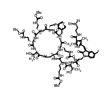 CCN(CC)CCNC(=O)c1c(C)[nH]c(/C=C2\C(=O)N(CCC(=O)N[C@H](C(=O)N[C@@H](CCCNC(=O)OC(C)(C)C)C(=O)N[C@H]3CCNC(=O)[C@H]([C@@H](C)O)NC(=O)[C@H](CCNC(=O)OC(C)(C)C)NC(=O)[C@H](CCNC(=O)OC(C)(C)C)NC(=O)[C@H](CC(C)C)NC(=O)[C@@H](Cc4ccccc4)NC(=O)[C@H](CCNC(=O)OC(C)(C)C)NC3=O)[C@H](C)O)c3ccc(F)cc32)c1C